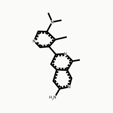 Cc1c(-c2cc3cc(N)ncc3c(C)n2)cncc1N(C)C